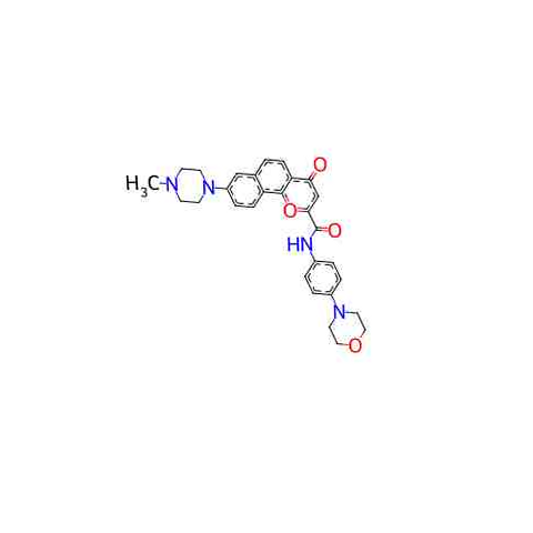 CN1CCN(c2ccc3c(ccc4c(=O)cc(C(=O)Nc5ccc(N6CCOCC6)cc5)oc43)c2)CC1